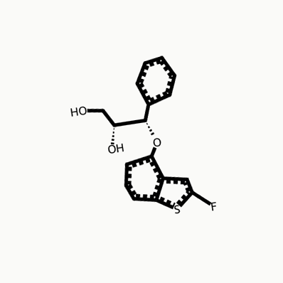 OC[C@@H](O)[C@@H](Oc1cccc2sc(F)cc12)c1ccccc1